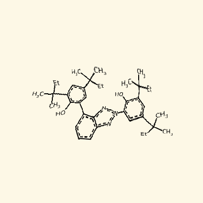 CCC(C)(C)c1cc(-c2cccc3nn(-c4cc(C(C)(C)CC)cc(C(C)(C)CC)c4O)nc23)c(O)c(C(C)(C)CC)c1